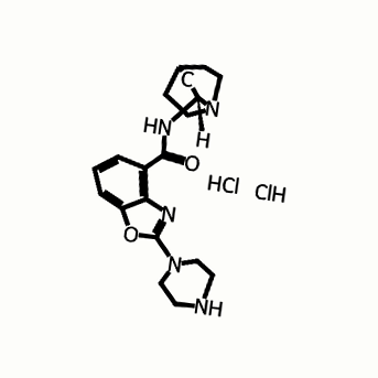 Cl.Cl.O=C(N[C@@H]1CC2CCN1CC2)c1cccc2oc(N3CCNCC3)nc12